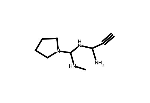 C#CC(N)NC(NC)N1CCCC1